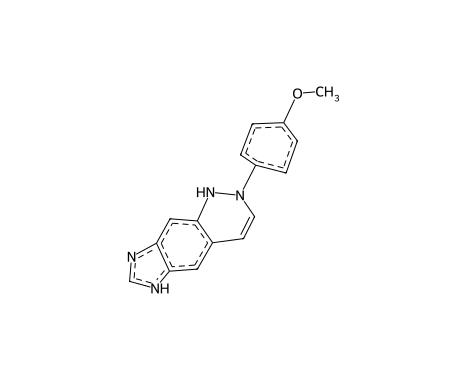 COc1ccc(N2C=Cc3cc4[nH]cnc4cc3N2)cc1